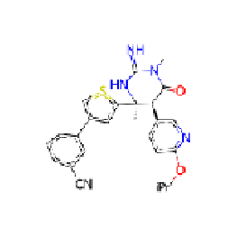 CC(C)Oc1ccc([C@@H]2C(=O)N(C)C(=N)N[C@]2(C)c2cc(-c3cccc(C#N)c3)cs2)cn1